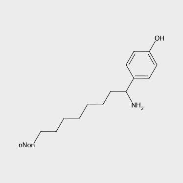 CCCCCCCCCCCCCCCCC(N)c1ccc(O)cc1